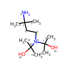 CC(C)(N)CCN(C(C)(C)O)C(C)(C)O